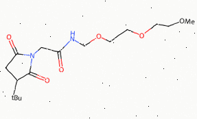 COCCOCCOCNC(=O)CN1C(=O)CC(C(C)(C)C)C1=O